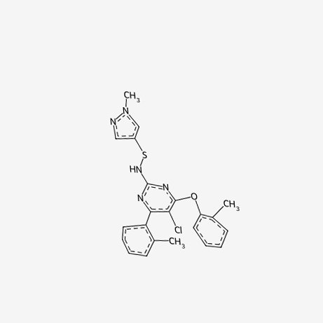 Cc1ccccc1Oc1nc(NSc2cnn(C)c2)nc(-c2ccccc2C)c1Cl